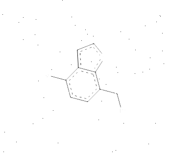 BrCc1ccc(Br)c2ccoc12